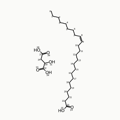 CCCCCCCC/C=C\CCCCCCCCCCCCCC(=O)O.O=C(O)CC(O)C(=O)O